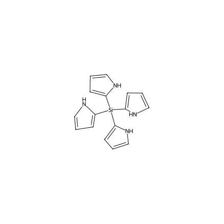 c1c[nH]c([Si](c2ccc[nH]2)(c2ccc[nH]2)c2ccc[nH]2)c1